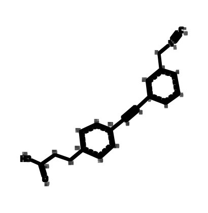 [C-]#[N+]Cc1cccc(C#Cc2ccc(CCC(=O)O)cc2)c1